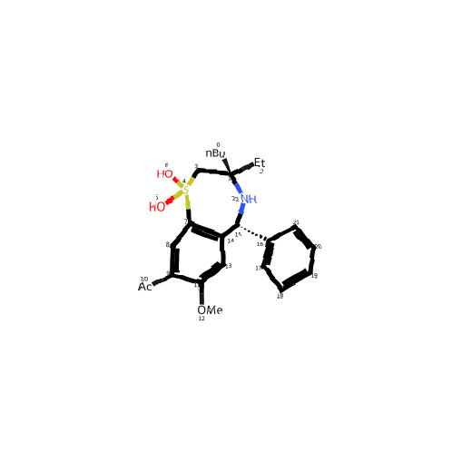 CCCC[C@]1(CC)CS(O)(O)c2cc(C(C)=O)c(OC)cc2[C@@H](c2ccccc2)N1